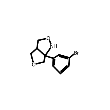 Brc1cccc(C23COCC2CON3)c1